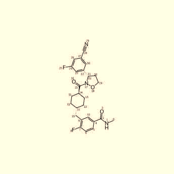 CNC(=O)c1ccc(F)c(C[C@H]2CC[C@H](C(=O)N3OCC[C@H]3c3cc(F)cc(C#N)c3)CC2)c1